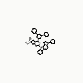 CC1(C)C=c2nc(-n3c4ccccc4c4ccc5c(ccn5-c5ccccc5)c43)nc(-c3cc(-c4ccccc4)cc(-c4ccccc4)c3)c2=C1